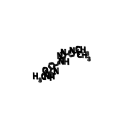 CNC(=O)c1c(F)cnc2c(CCNc3cc(-c4ccc(C(C)C)nc4)ncn3)cccc12